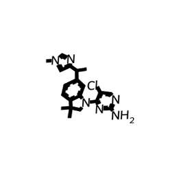 CC(c1ccc2c(c1)N(c1nc(N)ncc1Cl)CC2(C)C)c1cn(C)cn1